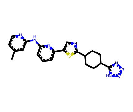 Cc1ccnc(Nc2cccc(-c3cnc(C4CCC(c5nnn[nH]5)CC4)s3)n2)c1